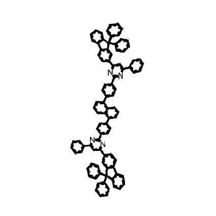 c1ccc(-c2cc(-c3ccc4c(c3)C(c3ccccc3)(c3ccccc3)c3ccccc3-4)nc(-c3ccc(-c4cccc5c(-c6ccc(-c7nc(-c8ccccc8)cc(-c8ccc9c(c8)C(c8ccccc8)(c8ccccc8)c8ccccc8-9)n7)cc6)cccc45)cc3)n2)cc1